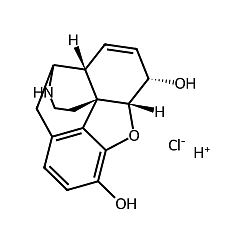 Oc1ccc2c3c1O[C@H]1[C@@H](O)C=C[C@H]4C(C2)NCC[C@@]341.[Cl-].[H+]